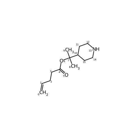 C=CCCC(=O)OC(C)(C)C1CCNCC1